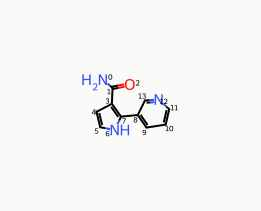 NC(=O)c1cc[nH]c1-c1cccnc1